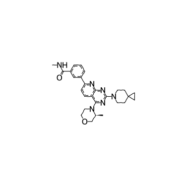 CNC(=O)c1cccc(-c2ccc3c(N4CCOC[C@@H]4C)nc(N4CCC5(CC4)CC5)nc3n2)c1